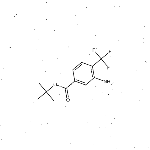 CC(C)(C)OC(=O)c1ccc(C(F)(F)F)c(N)c1